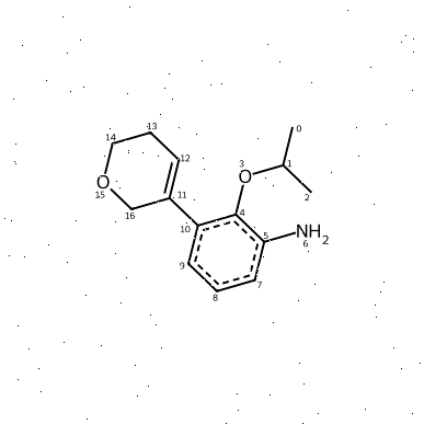 CC(C)Oc1c(N)cccc1C1=CCCOC1